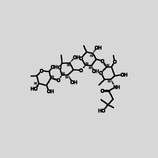 COC1C(O)[C@H](NC(=O)CC(C)(C)O)C(C)O[C@H]1OC1[C@@H](O)C(C)O[C@@H](OC2[C@@H](O)C(C)O[C@@H](O[C@@H]3C(O)OC(C)[C@H](O)C3O)[C@H]2O)[C@H]1O